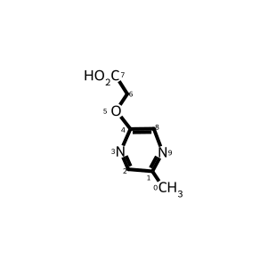 Cc1cnc(OCC(=O)O)cn1